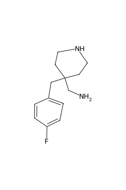 NCC1(Cc2ccc(F)cc2)CCNCC1